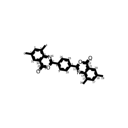 Cc1cc(C)c2nc(-c3ccc(-c4nc5c(C)cc(C)cc5c(=O)o4)cc3)oc(=O)c2c1